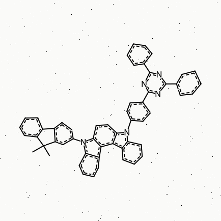 CC1(C)c2ccccc2-c2ccc(-n3c4ccccc4c4c5c6ccccc6n(-c6ccc(-c7nc(-c8ccccc8)nc(-c8ccccc8)n7)cc6)c5ccc43)cc21